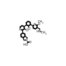 CNCc1ccc(-c2cccc(-c3ccnc(-c4ccc5c(c4)CN(C(=O)O)C5)c3Cl)c2Cl)nc1OC